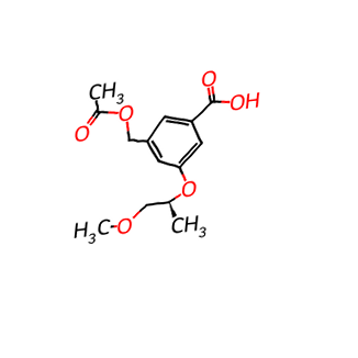 COC[C@H](C)Oc1cc(COC(C)=O)cc(C(=O)O)c1